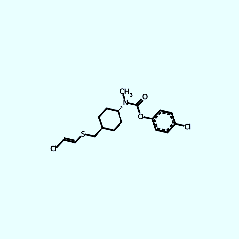 CN(C(=O)Oc1ccc(Cl)cc1)[C@H]1CC[C@H](CSC=CCl)CC1